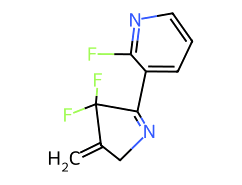 C=C1CN=C(c2cccnc2F)C1(F)F